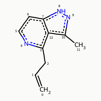 C=CCc1nccc2[nH]nc(C)c12